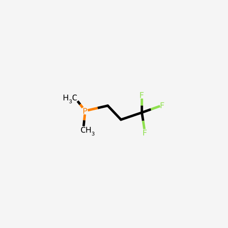 CP(C)CCC(F)(F)F